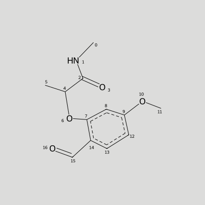 CNC(=O)C(C)Oc1cc(OC)ccc1C=O